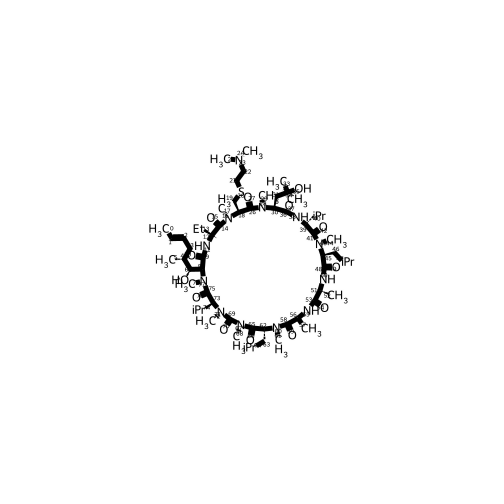 C/C=C/C[C@@H](C)[C@@H](O)C1C(=O)N[C@@H](CC)C(=O)N(C)[C@@H](CSCCN(C)C)C(=O)N(C)[C@@H](CC(C)(C)O)C(=O)N[C@H](C(C)C)C(=O)N(C)[C@@H](CC(C)C)C(=O)N[C@H](C)C(=O)NC(C)C(=O)N(C)[C@H](CC(C)C)C(=O)N(C)C(=O)N(C)[C@@H](C(C)C)C(=O)N1C